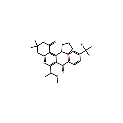 COC(C)c1nc2c(c(C3CCCC3)c1C(=O)c1ccc(C(F)(F)F)cc1)C(=O)CC(C)(C)C2